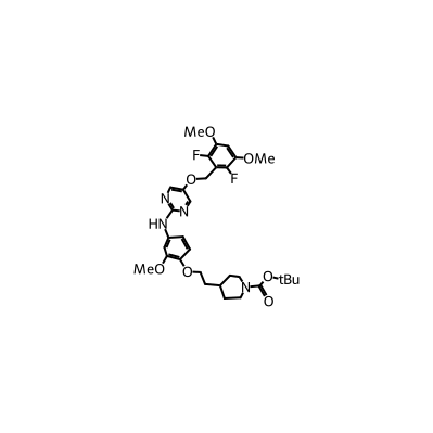 COc1cc(Nc2ncc(OCc3c(F)c(OC)cc(OC)c3F)cn2)ccc1OCCC1CCN(C(=O)OC(C)(C)C)CC1